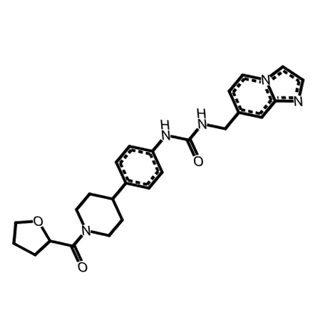 O=C(NCc1ccn2ccnc2c1)Nc1ccc(C2CCN(C(=O)C3CCCO3)CC2)cc1